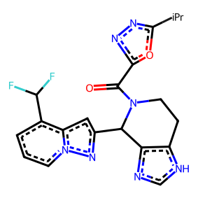 CC(C)c1nnc(C(=O)N2CCc3[nH]cnc3C2c2cc3c(C(F)F)cccn3n2)o1